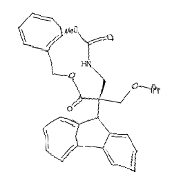 COC(=O)NC[C@](COC(C)C)(C(=O)OCc1ccccc1)C1c2ccccc2-c2ccccc21